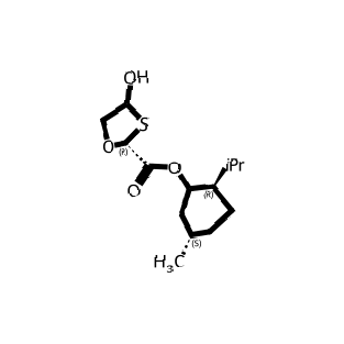 CC(C)[C@H]1CC[C@H](C)CC1OC(=O)[C@@H]1OCC(O)S1